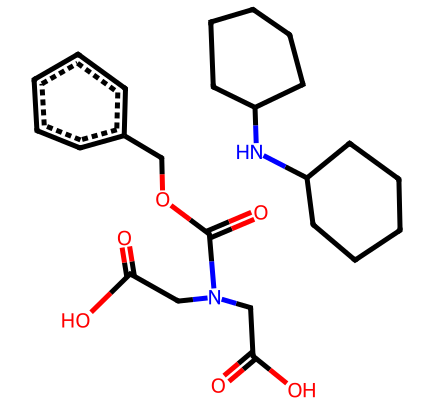 C1CCC(NC2CCCCC2)CC1.O=C(O)CN(CC(=O)O)C(=O)OCc1ccccc1